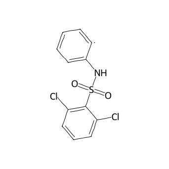 O=S(=O)(Nc1[c]cccc1)c1c(Cl)cccc1Cl